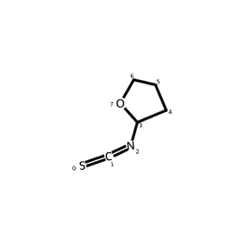 S=C=NC1CCCO1